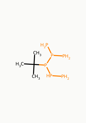 CC(C)(C)P(PP)P(P)P